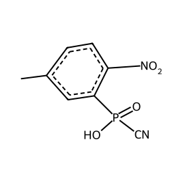 Cc1ccc([N+](=O)[O-])c(P(=O)(O)C#N)c1